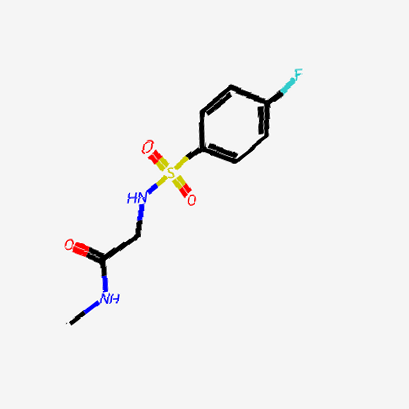 [CH2]NC(=O)CNS(=O)(=O)c1ccc(F)cc1